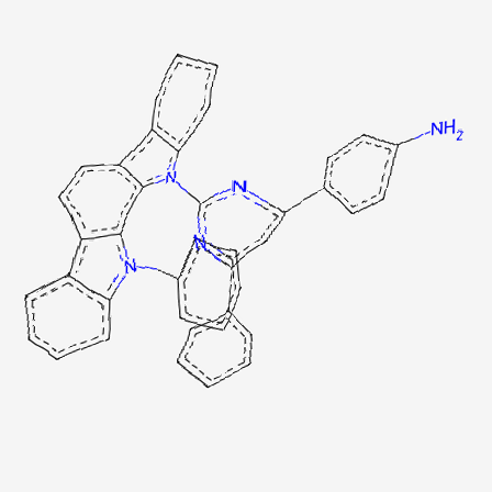 Nc1ccc(-c2cc(-c3ccccc3)nc(-n3c4ccccc4c4ccc5c6ccccc6n(-c6ccccc6)c5c43)n2)cc1